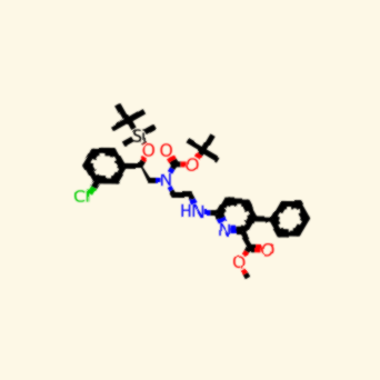 COC(=O)c1nc(NCCN(C[C@H](O[Si](C)(C)C(C)(C)C)c2cccc(Cl)c2)C(=O)OC(C)(C)C)ccc1-c1ccccc1